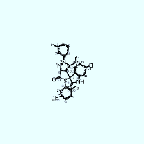 Cc1cccc(-n2nc3c(c2C(C)C)C2(C(=O)Nc4cc(Cl)ccc42)N(c2cc(Cl)ccc2C)C3=O)c1